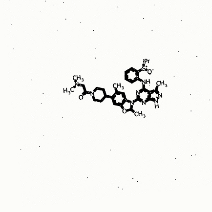 Cc1cc2c(cc1C1CCN(C(=O)CN(C)C)CC1)OC(C)N2c1nc(Nc2ccccc2[S+]([O-])C(C)C)c2c(C)n[nH]c2n1